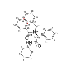 O=C(NC1CCCCC1)[C@H](c1ccccc1)N(Cc1ccccc1)C(=O)c1ccccc1